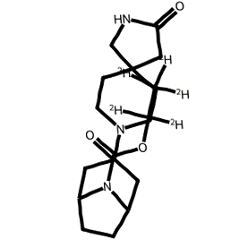 [2H]C([2H])([2H])C([2H])([2H])OC(=O)N1C2CCC1CC(N1CCC3(CC1)CNC(=O)C3)C2